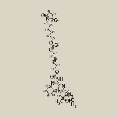 CCOCc1nc2c(NC(=O)OCCSSCCOC(=O)OCCCCCCN3C(=O)C=CC3=O)nc3ccccc3c2n1CC(C)(C)O